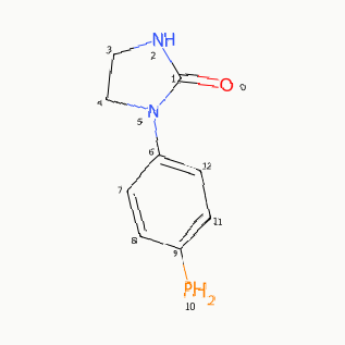 O=C1NCCN1c1ccc(P)cc1